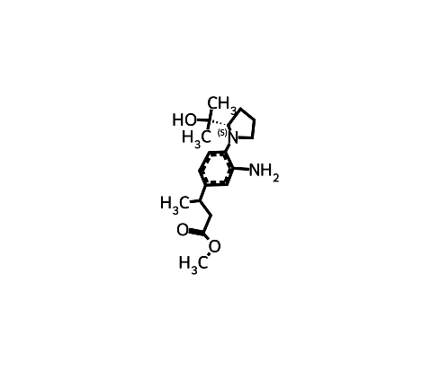 COC(=O)CC(C)c1ccc(N2CCC[C@H]2C(C)(C)O)c(N)c1